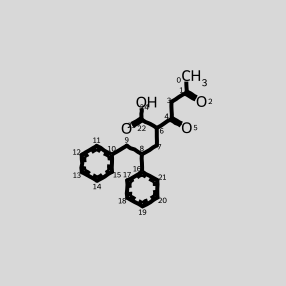 CC(=O)CC(=O)C(CC(Cc1ccccc1)c1ccccc1)C(=O)O